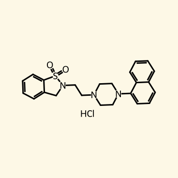 Cl.O=S1(=O)c2ccccc2CN1CCN1CCN(c2cccc3ccccc23)CC1